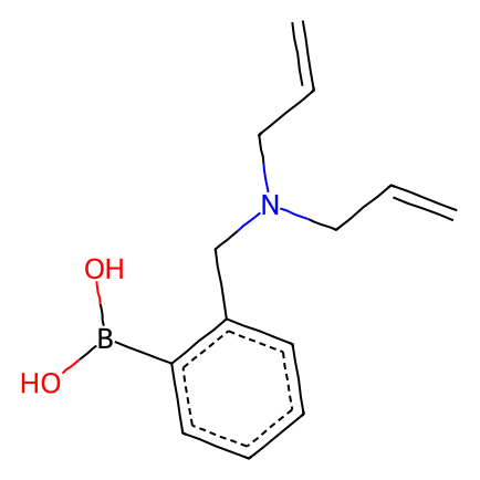 C=CCN(CC=C)Cc1ccccc1B(O)O